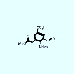 COC(=O)C[C@H]1CC(C(=O)O)=C[C@@H](OC(C)C)[C@@H]1NC(C)=O